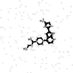 CCOC(O)N1CCN(c2ccnc3[nH]c(-c4nc(C)cs4)cc23)CC1